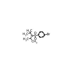 CC(C)N(C(C)C)S(=O)(=O)c1ccc(Br)cc1